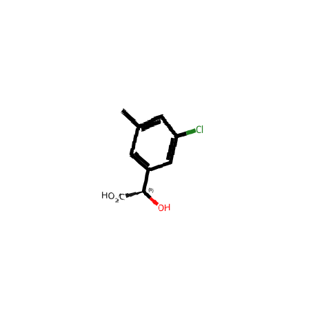 Cc1cc(Cl)cc([C@@H](O)C(=O)O)c1